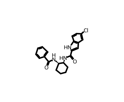 O=C(N[C@@H]1CCCC[C@@H]1NC(=O)c1cc2cc(Cl)ccc2[nH]1)c1ccccc1